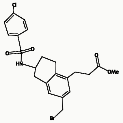 COC(=O)CCc1cc(CBr)cc2c1CCC(NS(=O)(=O)c1ccc(Cl)cc1)C2